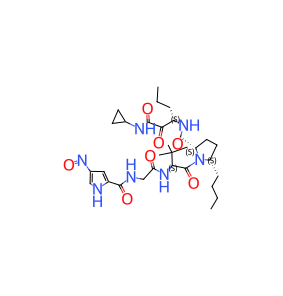 CCCC[C@H]1CC[C@@H](C(=O)N[C@@H](CCC)C(=O)C(=O)NC2CC2)N1C(=O)[C@@H](NC(=O)CNC(=O)c1cc(N=O)c[nH]1)C(C)(C)C